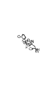 CCNC(=O)Cc1nsc(NS(=O)(=O)c2cccc(Cl)c2C)n1